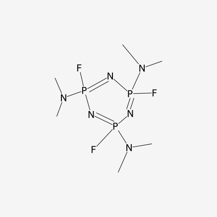 CN(C)P1(F)=NP(F)(N(C)C)=NP(F)(N(C)C)=N1